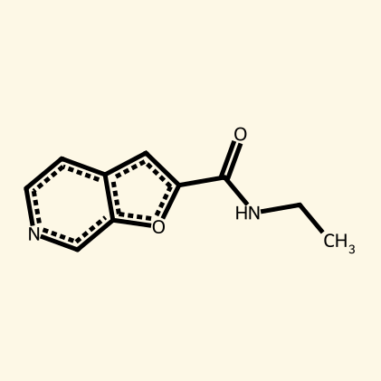 CCNC(=O)c1cc2ccncc2o1